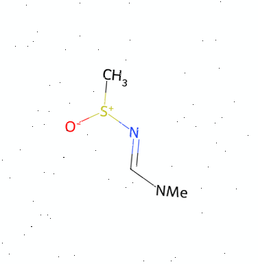 CN/C=N/[S+](C)[O-]